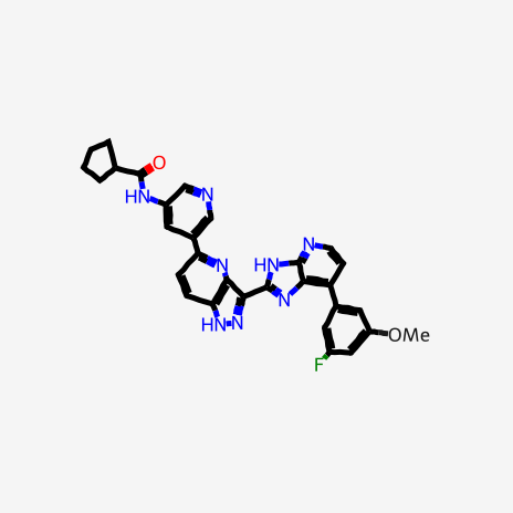 COc1cc(F)cc(-c2ccnc3[nH]c(-c4n[nH]c5ccc(-c6cncc(NC(=O)C7CCCC7)c6)nc45)nc23)c1